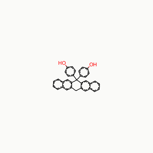 Oc1ccc(C2(c3ccc(O)cc3)c3cc4ccccc4cc3Cc3cc4ccccc4cc32)cc1